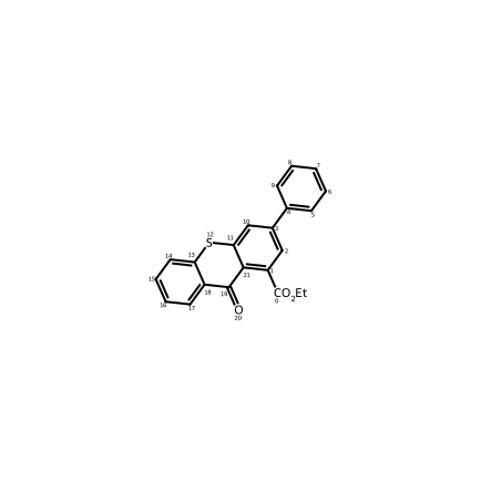 CCOC(=O)c1cc(-c2ccccc2)cc2sc3ccccc3c(=O)c12